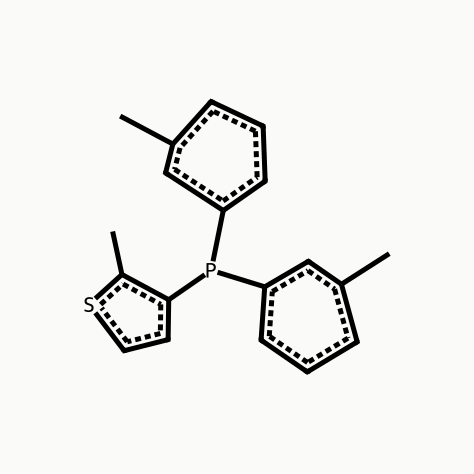 Cc1cccc(P(c2cccc(C)c2)c2ccsc2C)c1